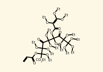 C=CC(=O)OC(OCC)(C(=O)OCC)C(OCC)(OCC)C(=O)C(OCC)(OCC)C(OCC)(OC(=O)C(OCC)=C(OCC)OCC)C(=O)C(OCC)(OCC)C(OCC)(OCC)OCC